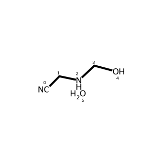 N#CCNCO.O